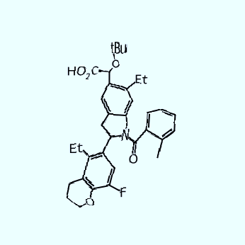 CCc1cc2c(cc1[C@H](OC(C)(C)C)C(=O)O)CC(c1cc(F)c3c(c1CC)CCCO3)N2C(=O)c1ccccc1C